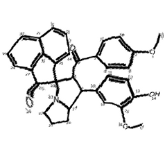 COc1ccc(C(=O)C2C(c3ccc(O)c(OC)c3)C3CCCN3C23C(=O)c2cccc4cccc3c24)cc1